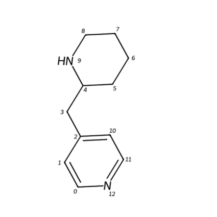 c1cc(CC2CCCCN2)ccn1